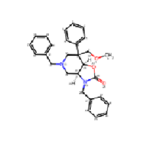 COC[C@]1(c2ccccc2)CN(Cc2ccccc2)C[C@H]2[C@@H]1OC(=O)N2Cc1ccccc1